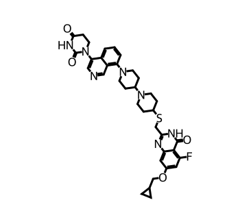 O=C1CCN(c2cncc3c(N4CCC(N5CCC(SCc6nc7cc(OCC8CC8)cc(F)c7c(=O)[nH]6)CC5)CC4)cccc23)C(=O)N1